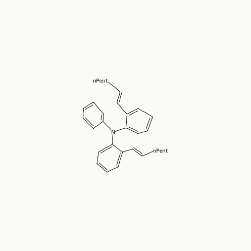 CCCCCC=Cc1ccccc1N(c1ccccc1)c1ccccc1C=CCCCCC